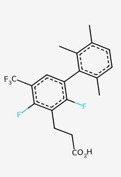 Cc1ccc(C)c(-c2cc(C(F)(F)F)c(F)c(CCC(=O)O)c2F)c1C